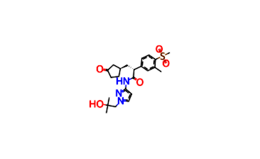 Cc1cc([C@@H](C[C@H]2CCC(=O)C2)C(=O)Nc2ccn(CC(C)(C)O)n2)ccc1S(C)(=O)=O